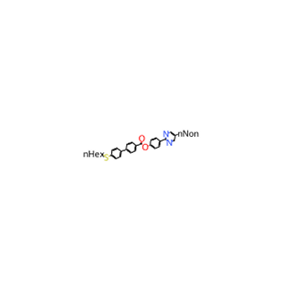 CCCCCCCCCc1cnc(-c2ccc(OC(=O)c3ccc(-c4ccc(SCCCCCC)cc4)cc3)cc2)nc1